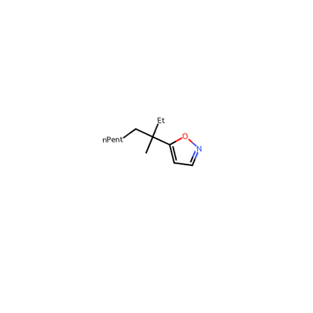 CCCCCCC(C)(CC)c1ccno1